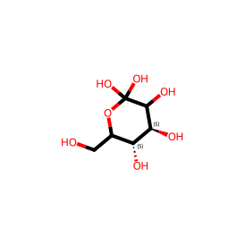 OCC1OC(O)(O)C(O)[C@@H](O)[C@@H]1O